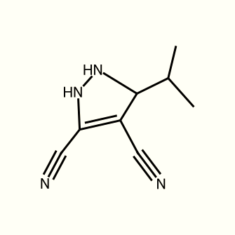 CC(C)C1NNC(C#N)=C1C#N